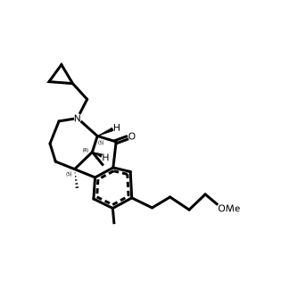 COCCCCc1cc2c(cc1C)[C@@]1(C)CCCN(CC3CC3)[C@H](C2=O)[C@@H]1C